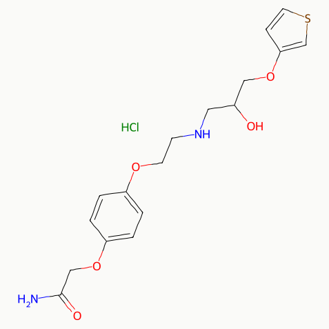 Cl.NC(=O)COc1ccc(OCCNCC(O)COc2ccsc2)cc1